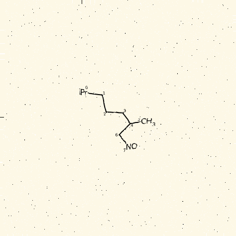 CC(C)CCCC(C)CN=O